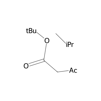 CC(=O)CC(=O)OC(C)(C)C.CC(C)C